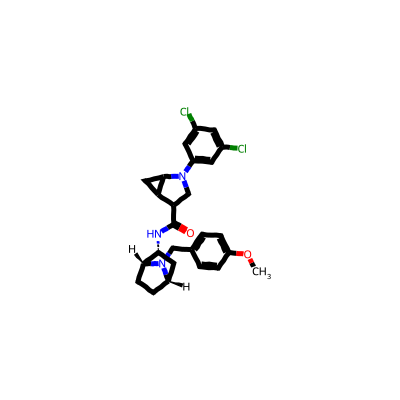 COc1ccc(CN2[C@H]3CC[C@@H]2[C@H](NC(=O)C2CN(c4cc(Cl)cc(Cl)c4)C4CC24)C3)cc1